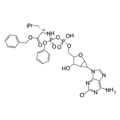 CC(C)C[C@H](NP(=O)(Oc1ccccc1)OP(=O)(O)OCC1OC2C(C1O)C2n1cnc2c(N)nc(Cl)nc21)C(=O)OCc1ccccc1